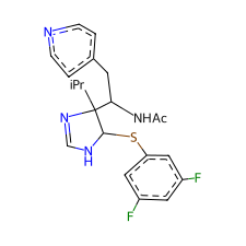 CC(=O)NC(Cc1ccncc1)C1(C(C)C)N=CNC1Sc1cc(F)cc(F)c1